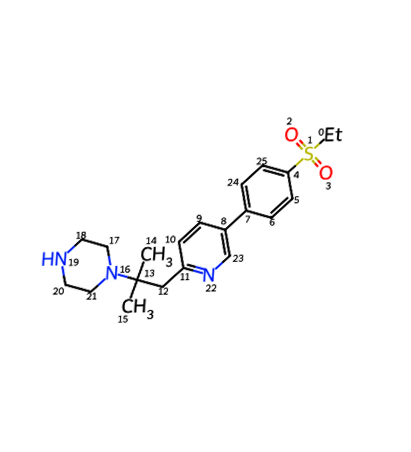 CCS(=O)(=O)c1ccc(-c2ccc(CC(C)(C)N3CCNCC3)nc2)cc1